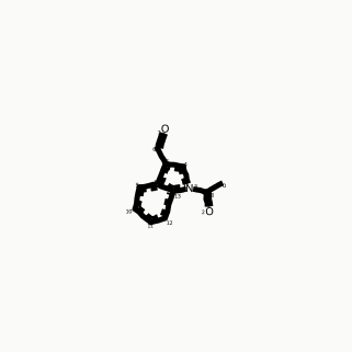 CC(=O)n1cc(C=O)c2ccccc21